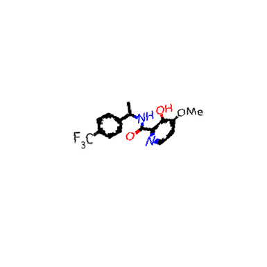 COc1ccnc(C(=O)NC(C)c2ccc(C(F)(F)F)cc2)c1O